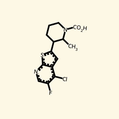 CC1C(c2cc3c(Cl)c(F)cnc3s2)CCCN1C(=O)O